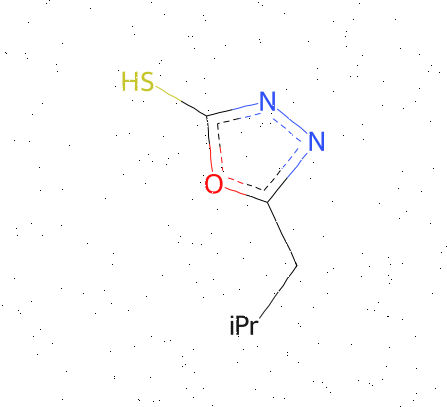 CC(C)Cc1nnc(S)o1